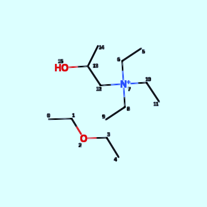 CCOCC.CC[N+](CC)(CC)CC(C)O